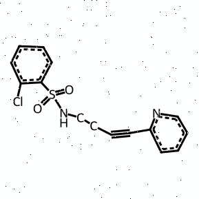 O=S(=O)(NCCC#Cc1ccccn1)c1ccccc1Cl